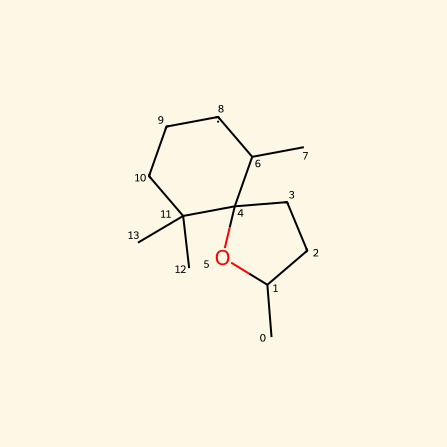 CC1CCC2(O1)C(C)[CH]CCC2(C)C